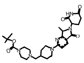 CC1c2nc(N3CCC(CN4CCN(C(=O)OC(C)(C)C)CC4)CC3)ccc2C(=O)N1C1CCC(=O)NC1=O